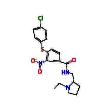 CCN1CCCC1CNC(=O)c1ccc(Sc2ccc(Cl)cc2)c([N+](=O)[O-])c1